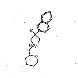 CCOC(=O)CC(C#N)(CCOC1CCCCO1)c1ccc2ccccc2c1